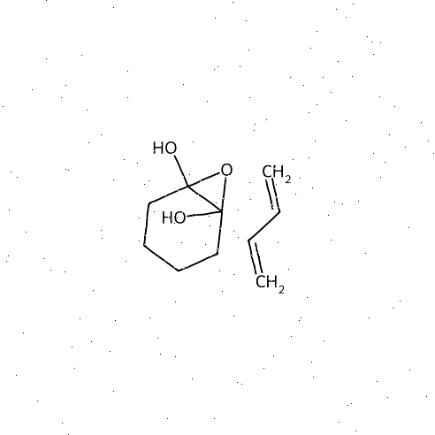 C=CC=C.OC12CCCCC1(O)O2